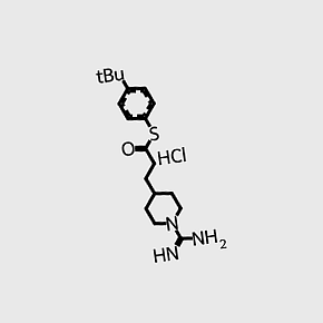 CC(C)(C)c1ccc(SC(=O)CCC2CCN(C(=N)N)CC2)cc1.Cl